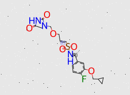 C[C@@H](NS(=O)(=O)/C=C/COCN1CC(=O)NC1=O)c1ccc(F)c(OCC2CC2)c1